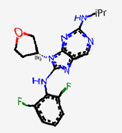 CC(C)Nc1ncc2nc(Nc3c(F)cccc3F)n([C@@H]3CCOC3)c2n1